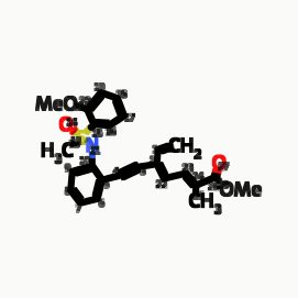 C=C/C(C#Cc1ccccc1N=S(C)(=O)c1ccccc1OC)=C\C=C(/C)C(=O)OC